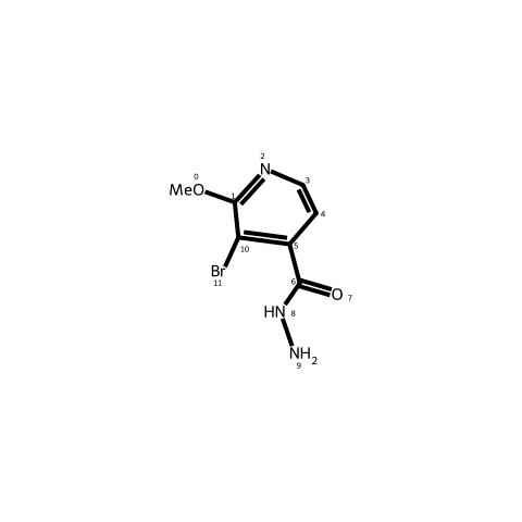 COc1nccc(C(=O)NN)c1Br